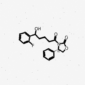 O=C(CCCC(O)c1ccccc1F)N1C(=O)OC[C@@H]1c1ccccc1